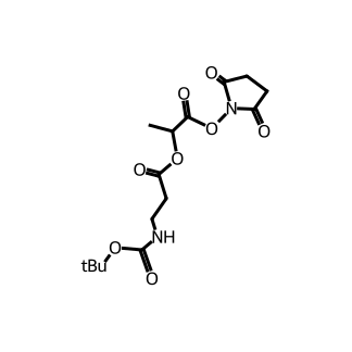 CC(OC(=O)CCNC(=O)OC(C)(C)C)C(=O)ON1C(=O)CCC1=O